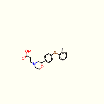 Cc1ccccc1Sc1ccc(C2CN(CCC(=O)O)CCO2)cc1